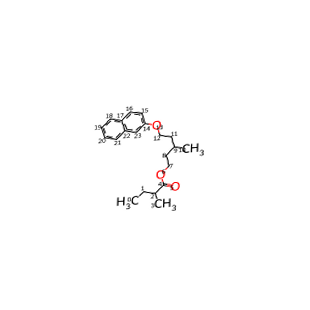 CCC(C)C(=O)OCCC(C)CCOc1ccc2ccccc2c1